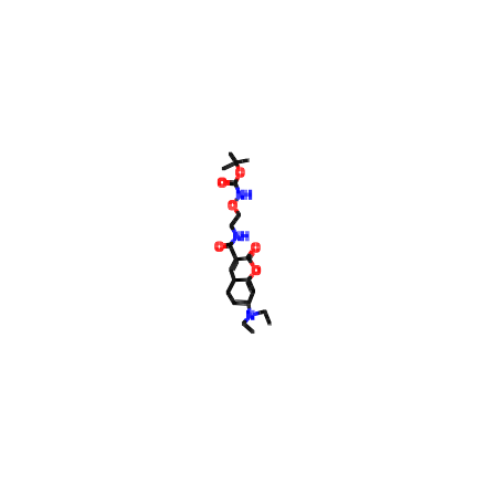 CCN(CC)C1=CCC2C=C(C(=O)NCCONC(=O)OC(C)(C)C)C(=O)OC2=C1